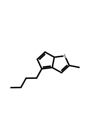 CCCCC1=C2[C]=C(C)SC2C=C1